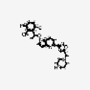 CC(On1ccc2nc(-c3noc(CN4CCNCC4)n3)ccc21)c1c(Cl)ccc(F)c1Cl